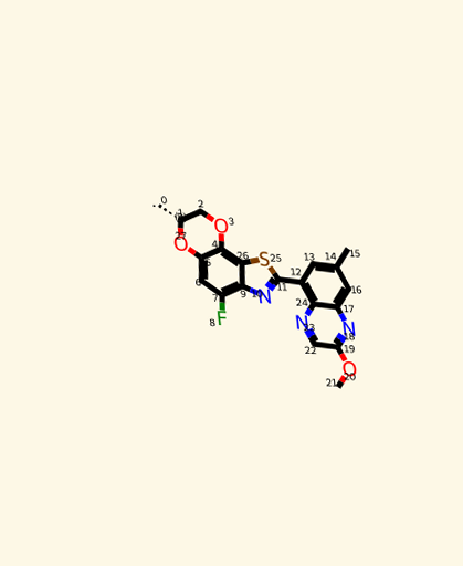 [CH2][C@@H]1COc2c(cc(F)c3nc(-c4cc(C)cc5nc(OC)cnc45)sc23)O1